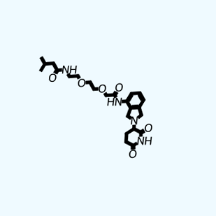 CC(C)CC(=O)NCCOCCOCC(=O)Nc1cccc2c1CN(C1CCC(=O)NC1=O)C2